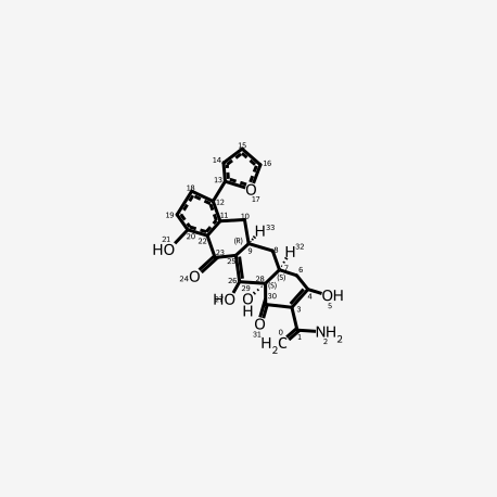 C=C(N)C1=C(O)C[C@@H]2C[C@@H]3Cc4c(-c5ccco5)ccc(O)c4C(=O)C3=C(O)[C@]2(O)C1=O